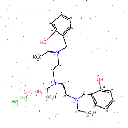 Cl.Cl.O.O.O=C(O)CN(CCN(CC(=O)O)Cc1ccccc1O)CCN(CC(=O)O)Cc1ccccc1O